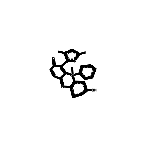 C[Si]1(c2ccccc2)C2=C(c3sc(I)cc3I)C(=O)C=CC2=Nc2ccc(O)cc21